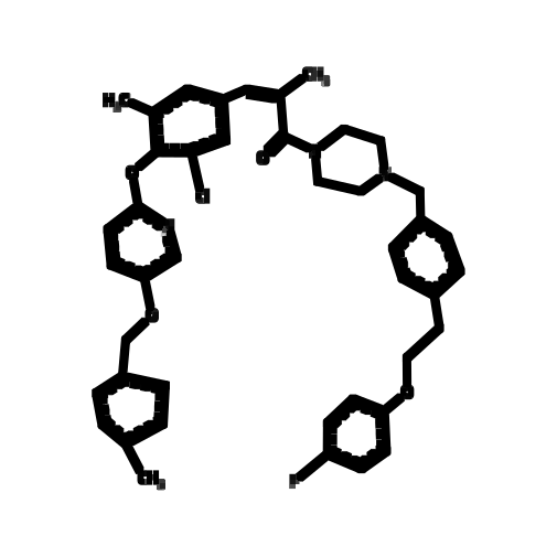 CC(=Cc1cc(C)c(Oc2ccc(OCc3ccc(C)cc3)cn2)c(Cl)c1)C(=O)N1CCN(Cc2ccc(CCOc3ccc(F)cc3)cc2)CC1